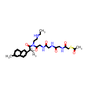 CCNCCN(C(=O)CNC(=O)CNC(=O)CNC(=O)CSC(C)=O)C(=O)[C@@H](C)c1ccc2cc(C)ccc2c1